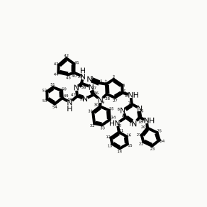 N#Cc1ccc(Nc2nc(Nc3ccccc3)nc(Nc3ccccc3)n2)cc1N(c1ccccc1)c1nc(Nc2ccccc2)nc(Nc2ccccc2)n1